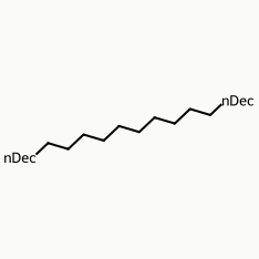 CC[CH]CCCCCCCCCCCCCCCCCCCCCCCCCCC